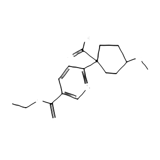 CCOC(=O)c1ccc(C2(C(=O)O)CCC(OC)CC2)nc1